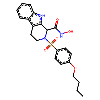 CCCCOc1ccc(S(=O)(=O)N2CCc3c([nH]c4ccccc34)C2C(=O)NO)cc1